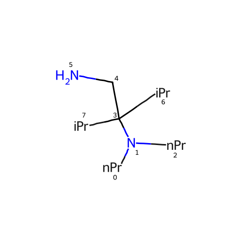 CCCN(CCC)C(CN)(C(C)C)C(C)C